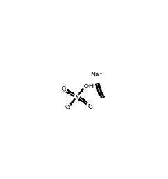 C=C.O=S(=O)([O-])O.[Na+]